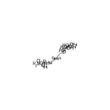 COc1cc(N)c(Cl)cc1C(=O)NC1CCN(C(C)CCCCC(=O)NCCCCCCCC(=O)NC[C@H](O)[C@@H](O)[C@H](O)[C@H](O)CO)CC1